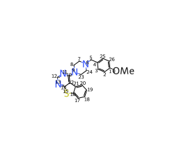 COc1ccc(CN2CCN(c3ncnc4sc5ccccc5c34)CC2)cc1